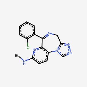 CCNc1ccc2c(n1)C(c1ccccc1Cl)=NCc1nncn1-2